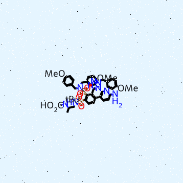 COc1ccc(CN(Cc2ccc(OC)cc2)S(=O)(=O)c2c(S(=O)(=O)NCC(C)N(C(=O)O)C(C)(C)C)ccc(-c3ccc(N)nc3)c2-c2nnn(Cc3ccc(OC)cc3)n2)cc1